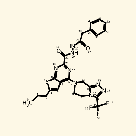 CCCc1cc2c(N3CCn4c(nnc4C(F)(F)F)C3)nc(C(=O)NNC(=O)Cc3ccccc3)nc2s1